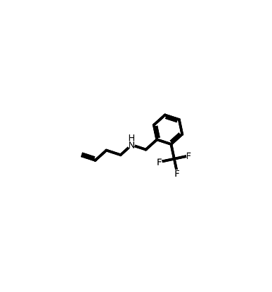 C=CCCNCc1ccccc1C(F)(F)F